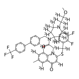 [2H]c1c(C)c([2H])c2c(=O)c([2H])c(SC([2H])([2H])c3cccc(F)c3F)n(CC(=O)N(Cc3ccc(-c4ccc(C(F)(F)F)cc4)cc3)C3([2H])C([2H])([2H])C([2H])([2H])N(C([2H])([2H])C([2H])([2H])OC)C([2H])([2H])C3([2H])[2H])c2c1[2H]